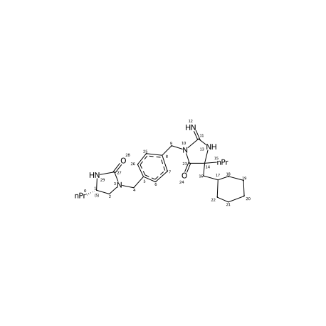 CCC[C@H]1CN(Cc2ccc(CN3C(=N)NC(CCC)(CC4CCCCC4)C3=O)cc2)C(=O)N1